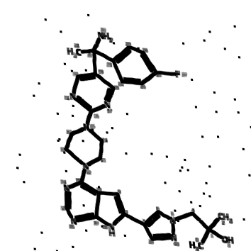 CC(C)(O)Cn1cc(-c2cc3c(N4CCN(c5ncc(C(C)(N)c6ccc(F)cc6)cn5)CC4)ncnc3[nH]2)cn1